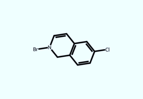 Clc1ccc2c(c1)C=CN(Br)C2